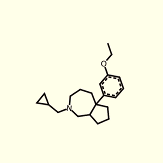 CCOc1cccc(C23CCCC2CN(CC2CC2)CCC3)c1